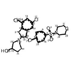 O=S(=O)(c1ccc(O[C@H]2c3cc(Cl)cc(Cl)c3C[C@@H]2N2CCC(O)C2)cc1)N1CCOCC1